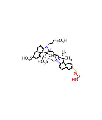 CC1(C)C(C=C/C=C2/N(CCCS(=O)(=O)O)c3ccc4cc(S(=O)(=O)O)ccc4c3C2(C)C)=[N+](CCCS(=O)(=O)O)c2ccc3cc(SOOO)ccc3c21